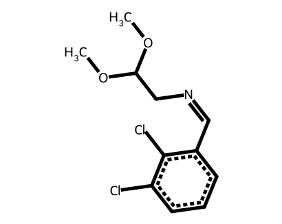 COC(C/N=C\c1cccc(Cl)c1Cl)OC